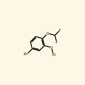 [CH2]C(C)c1ccc(OC(F)F)c(OCC)c1